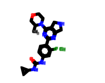 CC1COCCN1c1nc(-c2ccc(NC(=O)NC3CC3)cc2F)nc2c1CNC2.Cl